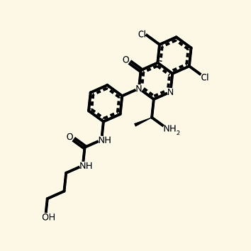 C[C@H](N)c1nc2c(Cl)ccc(Cl)c2c(=O)n1-c1cccc(NC(=O)NCCCO)c1